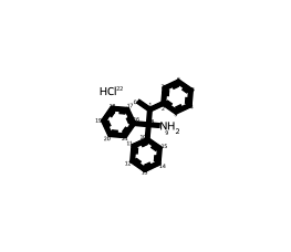 CC(c1ccccc1)C(N)(c1ccccc1)c1ccccc1.Cl